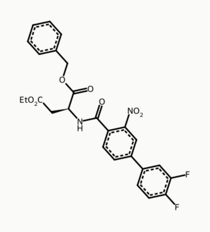 CCOC(=O)C[C@H](NC(=O)c1ccc(-c2ccc(F)c(F)c2)cc1[N+](=O)[O-])C(=O)OCc1ccccc1